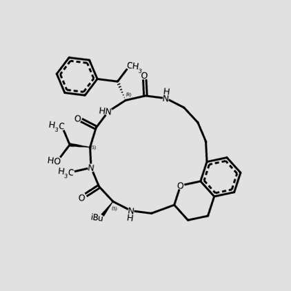 CCC(C)[C@@H]1NCC2CCc3cccc(c3O2)CCCNC(=O)[C@@H](C(C)c2ccccc2)NC(=O)[C@H](C(C)O)N(C)C1=O